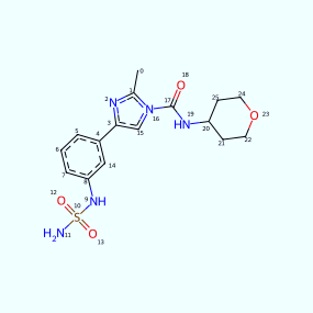 Cc1nc(-c2cccc(NS(N)(=O)=O)c2)cn1C(=O)NC1CCOCC1